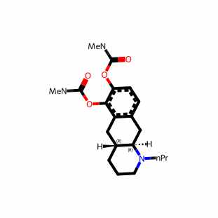 CCCN1CCC[C@@H]2Cc3c(ccc(OC(=O)NC)c3OC(=O)NC)C[C@H]21